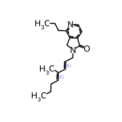 CCC/C=C(C)/C=C/CN1Cc2c(ccnc2CCC)C1=O